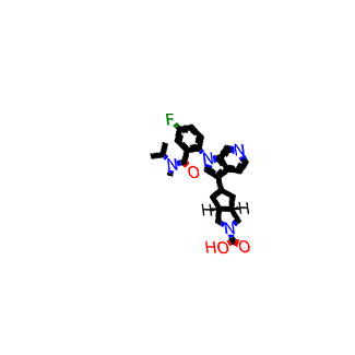 CC(C)N(C)C(=O)c1cc(F)ccc1-n1cc(C2C[C@@H]3CN(C(=O)O)C[C@@H]3C2)c2ccncc21